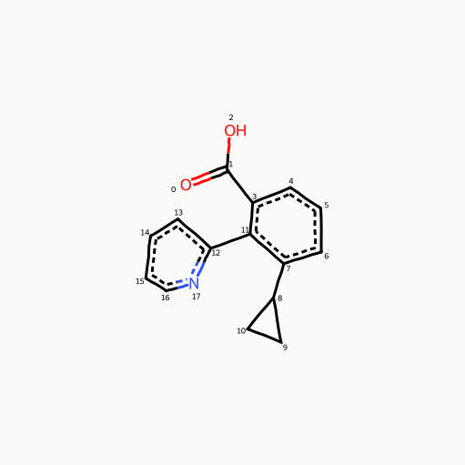 O=C(O)c1cccc(C2CC2)c1-c1ccccn1